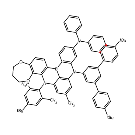 Cc1cc2c3c(c1)N(c1c(C)cc(C(C)(C)C)cc1C)c1c(ccc4c1OCCCO4)B3c1ccc(N(c3ccccc3)c3ccccc3)cc1N2c1cc(-c2ccc(C(C)(C)C)cc2)cc(-c2ccc(C(C)(C)C)cc2)c1